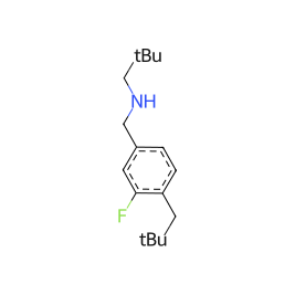 CC(C)(C)CNCc1ccc(CC(C)(C)C)c(F)c1